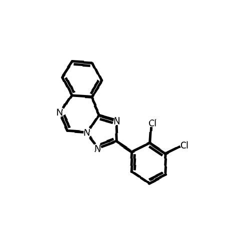 Clc1cccc(-c2nc3c4ccccc4ncn3n2)c1Cl